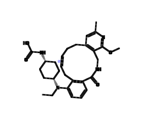 CCN(c1cccc2c1C/C=C\CCc1cc(C)nc(OC)c1CNC2=O)[C@H]1CC[C@@H](NC(=O)O)CC1